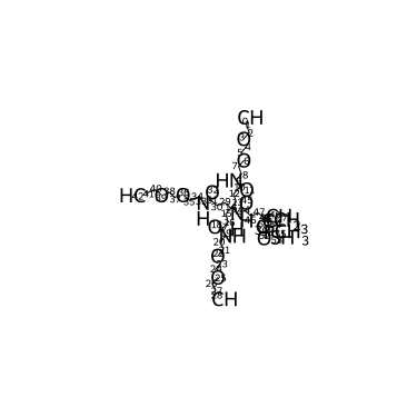 C#CCOCCOCCNC(=O)CCC(CCC(=O)NCCOCCOCC#C)(CCC(=O)NCCOCCOCC#C)NC(=O)CCC(=C)OP(=O)(S)C(C)(C)C